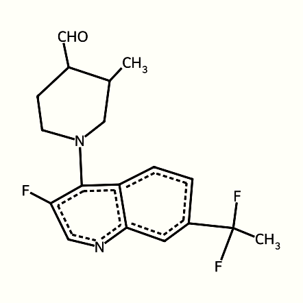 CC1CN(c2c(F)cnc3cc(C(C)(F)F)ccc23)CCC1C=O